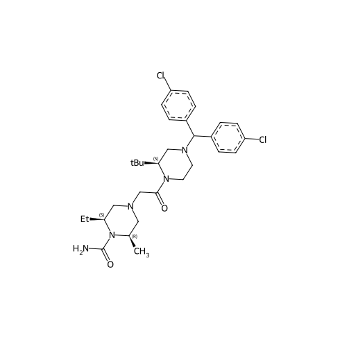 CC[C@H]1CN(CC(=O)N2CCN(C(c3ccc(Cl)cc3)c3ccc(Cl)cc3)C[C@@H]2C(C)(C)C)C[C@@H](C)N1C(N)=O